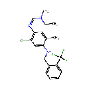 CCN(C)/C=N\c1cc(C)c(NCc2ccccc2C(F)(F)F)cc1Cl